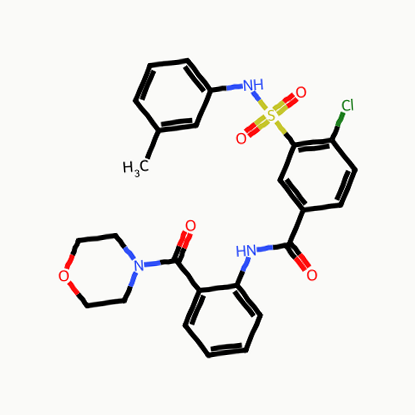 Cc1cccc(NS(=O)(=O)c2cc(C(=O)Nc3ccccc3C(=O)N3CCOCC3)ccc2Cl)c1